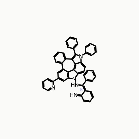 N=C1C=CC=C/C1=C(/Nn1c2cc(-c3ccccn3)cc3c2c2c4c(c(-c5ccccc5)n(-c5ccccc5)c4ccc21)-c1ccccc1-3)c1ccccc1